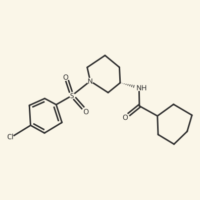 O=C(N[C@H]1CCCN(S(=O)(=O)c2ccc(Cl)cc2)C1)C1CCCCC1